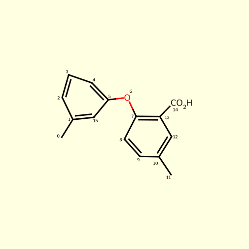 Cc1cccc(Oc2ccc(C)cc2C(=O)O)c1